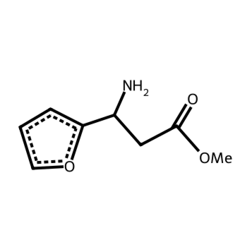 COC(=O)CC(N)c1ccco1